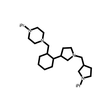 CC(C)N1CCN(CC2CCCCC2C2CCN(CC3CCN(C(C)C)C3)C2)CC1